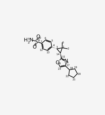 CC1(C)[C@@H](c2ccc(S(N)(=O)=O)cc2)[C@@H]1c1nc(C2CCCC2)co1